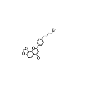 O=c1cc(-c2ccc(CCCCBr)cc2)oc2c3c(ccc12)OCO3